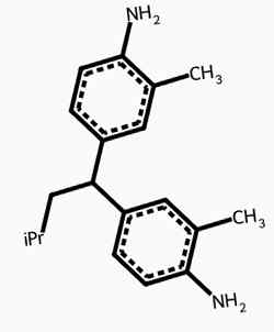 Cc1cc(C(CC(C)C)c2ccc(N)c(C)c2)ccc1N